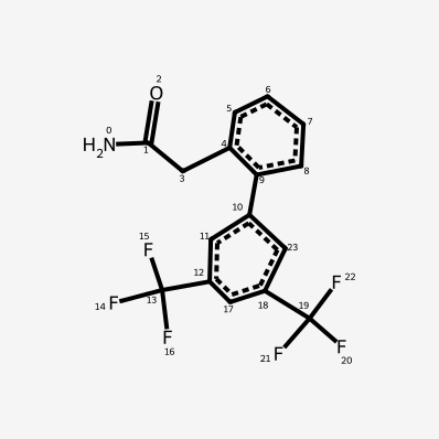 NC(=O)Cc1ccccc1-c1cc(C(F)(F)F)cc(C(F)(F)F)c1